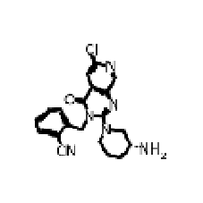 N#Cc1ccccc1Cn1c(N2CCC[C@@H](N)C2)nc2cnc(Cl)cc2c1=O